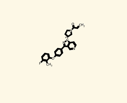 C=CC(=O)N1CC[C@@H](n2nc(-c3ccc(Oc4cccc(F)c4C)cc3)c3cnccc32)C1